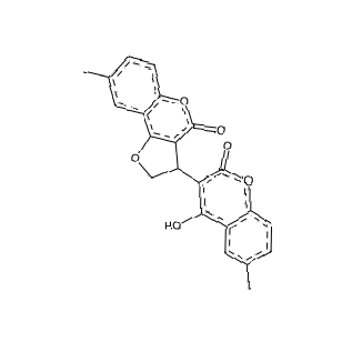 Cc1ccc2oc(=O)c(C3COc4c3c(=O)oc3ccc(C)cc43)c(O)c2c1